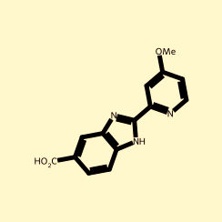 COc1ccnc(-c2nc3cc(C(=O)O)ccc3[nH]2)c1